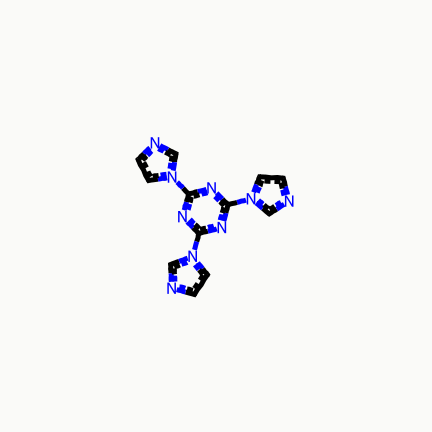 c1cn(-c2nc(-n3ccnc3)nc(-n3ccnc3)n2)cn1